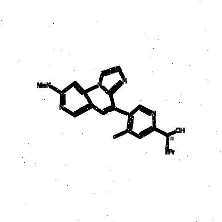 CCC[C@H](O)c1cc(C)c(-c2cc3cnc(NC)cc3n3ccnc23)cn1